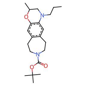 CCCN1CC(C)Oc2cc3c(cc21)CCN(C(=O)OC(C)(C)C)CC3